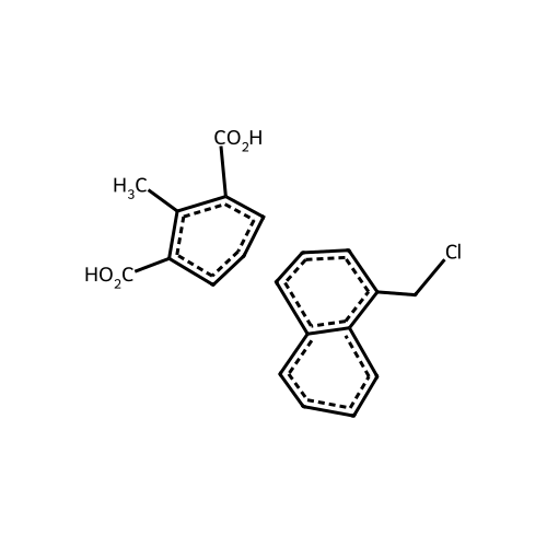 Cc1c(C(=O)O)cccc1C(=O)O.ClCc1cccc2ccccc12